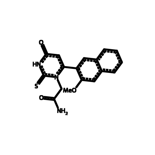 COc1cc2ccccc2cc1-c1cc(=O)[nH]c(=S)n1CC(N)=O